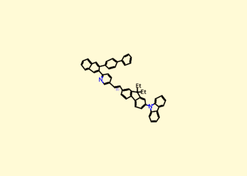 CCC1(CC)c2cc(/C=C/c3ccc(-c4cc5ccccc5cc4-c4ccc(-c5ccccc5)cc4)nc3)ccc2-c2ccc(-n3c4ccccc4c4ccccc43)cc21